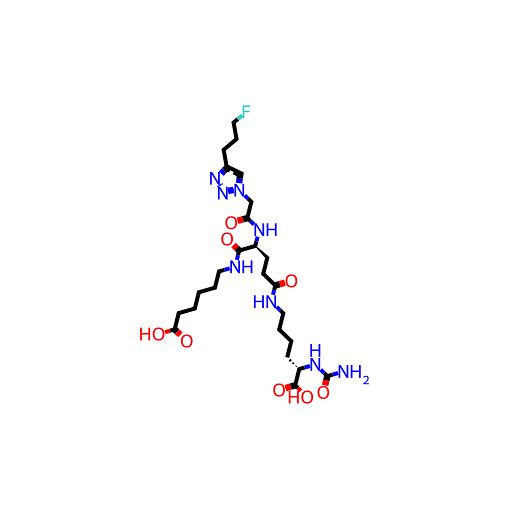 NC(=O)N[C@@H](CCCCNC(=O)CC[C@H](NC(=O)Cn1cc(CCCF)nn1)C(=O)NCCCCCC(=O)O)C(=O)O